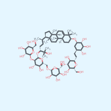 C[C@H](CC[C@@H](O[C@@H]1O[C@H](CO[C@@H]2O[C@H](CO)[C@@H](O)[C@H](O)[C@H]2O)[C@@H](O)[C@H](O)[C@H]1O[C@@H]1O[C@H](CO)[C@@H](O)[C@H](O)[C@H]1O)C(C)(C)O)[C@H]1CC[C@@]2(C)[C@@H]3CC=C4[C@@H](CC[C@H](O[C@@H]5C[C@H](CC[C@@H]6O[C@H](CO)[C@@H](O)[C@H](O)[C@H]6O)[C@@H](O)[C@H](O)[C@H]5O)C4(C)C)[C@]3(C)CC[C@]12C